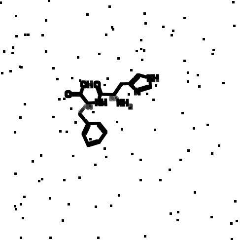 N[C@@H](Cc1c[nH]cn1)C(=O)N[C@H](Cc1ccccc1)C(=O)O